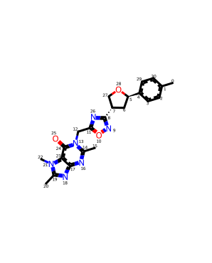 Cc1ccc([C@H]2C[C@H](c3noc(Cn4c(C)nc5nc(C)n(C)c5c4=O)n3)CO2)cc1